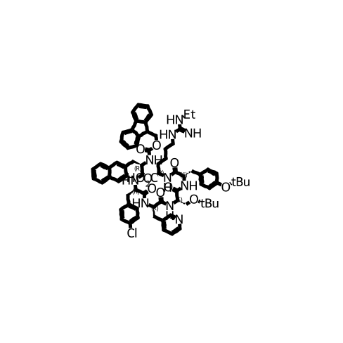 CCNC(=N)NCCCC[C@@H](NC(=O)[C@H](Cc1ccc(OC(C)(C)C)cc1)NC(=O)[C@H](COC(C)(C)C)NC(=O)[C@@H](Cc1cccnc1)NC(=O)[C@@H](Cc1ccc(Cl)cc1)NC(=O)[C@@H](Cc1ccc2ccccc2c1)NC(=O)OCC1c2ccccc2-c2ccccc21)C(=O)O